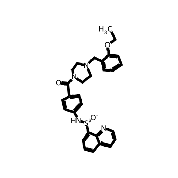 CCOc1ccccc1CN1CCN(C(=O)c2ccc(N[S+]([O-])c3cccc4cccnc34)cc2)CC1